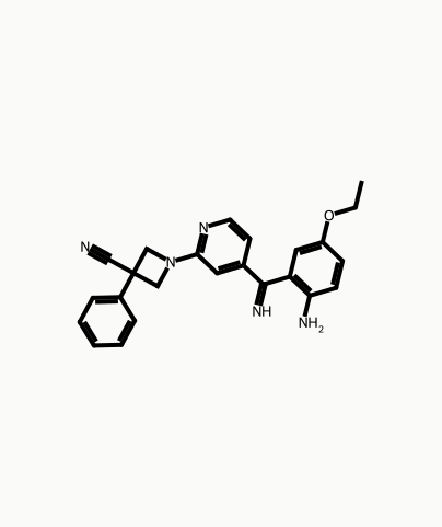 CCOc1ccc(N)c(C(=N)c2ccnc(N3CC(C#N)(c4ccccc4)C3)c2)c1